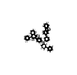 C1=C(c2ccccc2)CCC=C1N(c1cccc(-c2ccc3c(c2)oc2ccccc23)c1)c1ccc2c(c1)oc1c3ccccc3c(-c3ccccc3)cc21